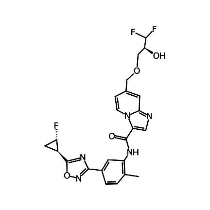 Cc1ccc(-c2noc([C@H]3C[C@@H]3F)n2)cc1NC(=O)c1cnc2cc(COC[C@H](O)C(F)F)ccn12